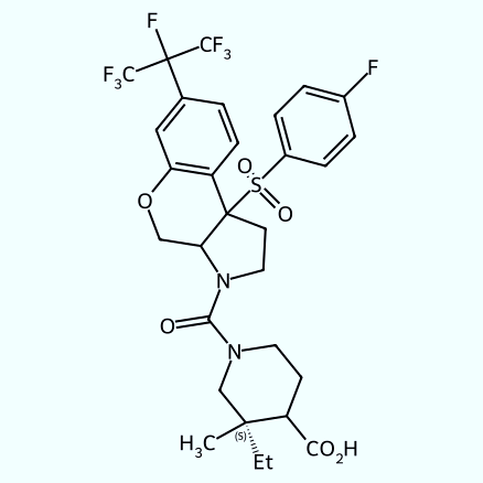 CC[C@]1(C)CN(C(=O)N2CCC3(S(=O)(=O)c4ccc(F)cc4)c4ccc(C(F)(C(F)(F)F)C(F)(F)F)cc4OCC23)CCC1C(=O)O